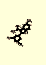 [CH2]C(N)c1c(-c2cc(C)cc(C)c2)[nH]c2ccc([N+](=O)[O-])cc12